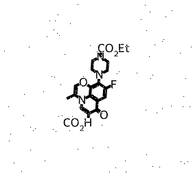 CCOC(=O)N1CCN(c2c(F)cc3c(=O)c(C(=O)O)cn4c3c2OC=C4C)CC1